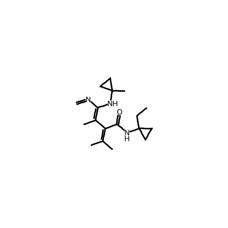 C=N/C(NC1(C)CC1)=C(\C)C(C(=O)NC1(CC)CC1)=C(C)C